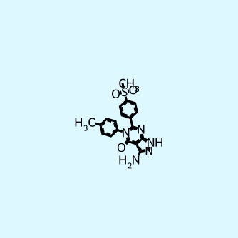 Cc1ccc(-n2c(-c3ccc(S(C)(=O)=O)cc3)nc3[nH]nc(N)c3c2=O)cc1